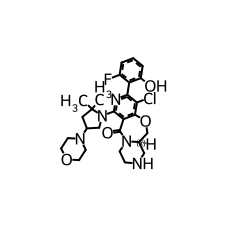 CC1(C)CC(N2CCOCC2)CN1c1nc(-c2c(O)cccc2F)c(Cl)c2c1C(=O)N1CCNC[C@@H]1CO2